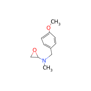 COc1ccc(CN(C)C2CO2)cc1